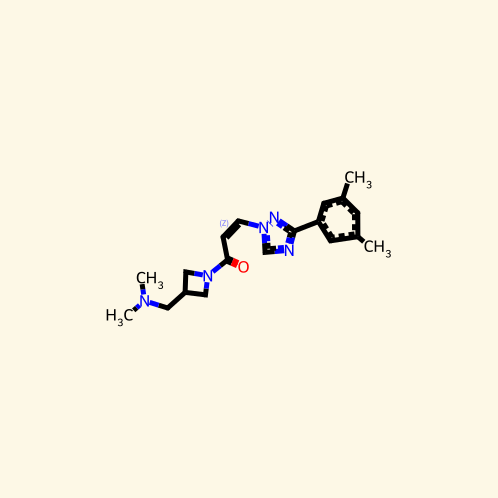 Cc1cc(C)cc(-c2ncn(/C=C\C(=O)N3CC(CN(C)C)C3)n2)c1